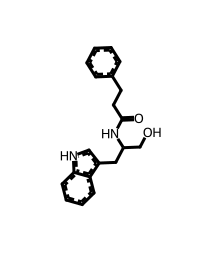 O=C(CCc1ccccc1)NC(CO)Cc1c[nH]c2ccccc12